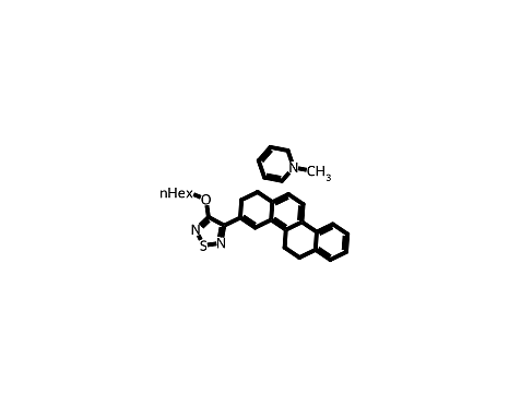 CCCCCCOc1nsnc1C1=Cc2c(ccc3c2CCc2ccccc2-3)CC1.CN1C=CC=CC1